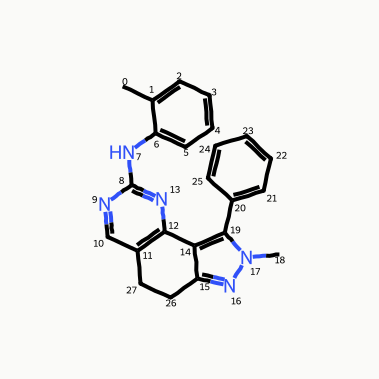 Cc1ccccc1Nc1ncc2c(n1)-c1c(nn(C)c1-c1ccccc1)CC2